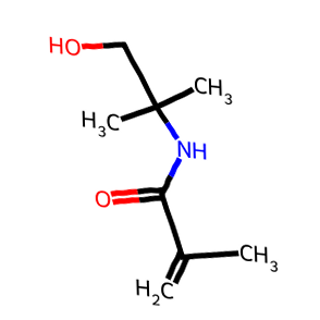 C=C(C)C(=O)NC(C)(C)CO